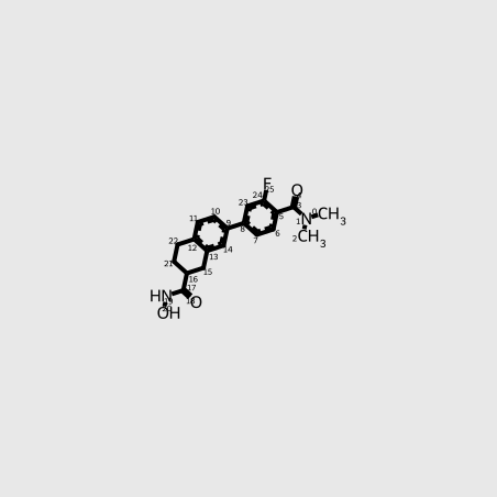 CN(C)C(=O)c1ccc(-c2ccc3c(c2)CC(C(=O)NO)CC3)cc1F